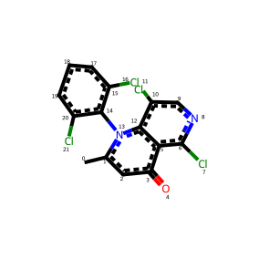 Cc1cc(=O)c2c(Cl)ncc(Cl)c2n1-c1c(Cl)cccc1Cl